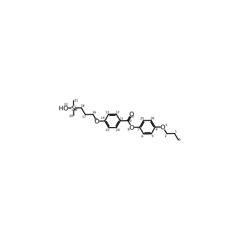 CCCOc1ccc(OC(=O)c2ccc(OCCC[Si](C)(C)O)cc2)cc1